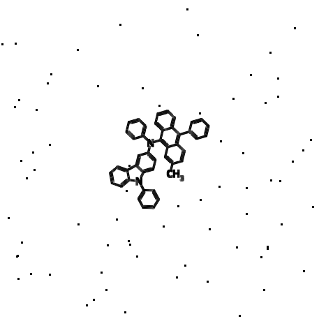 Cc1ccc2c(-c3ccccc3)c3ccccc3c(N(c3ccccc3)c3ccc4c(c3)c3ccccc3n4-c3ccccc3)c2c1